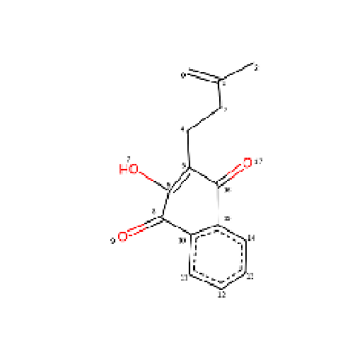 C=C(C)CCC1=C(O)C(=O)c2ccccc2C1=O